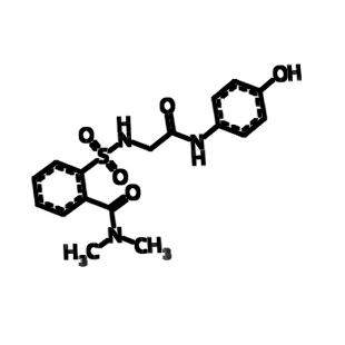 CN(C)C(=O)c1ccccc1S(=O)(=O)NCC(=O)Nc1ccc(O)cc1